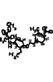 CCc1cc(NC(C)(C)C(=O)OC)ccc1OCCN1CCN(C(=O)O)[C@@H](C)C1